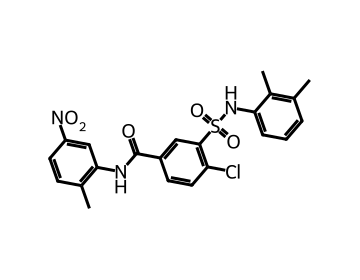 Cc1ccc([N+](=O)[O-])cc1NC(=O)c1ccc(Cl)c(S(=O)(=O)Nc2cccc(C)c2C)c1